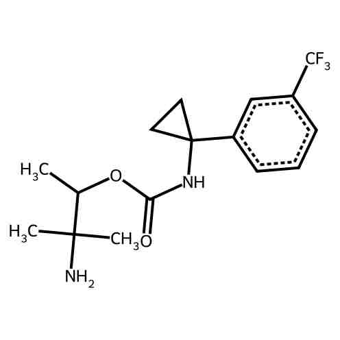 CC(OC(=O)NC1(c2cccc(C(F)(F)F)c2)CC1)C(C)(C)N